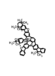 CC(C)(C)c1ccc(Nc2cc3c(cc2-c2ccc4c5cc6c(cc5n5c4c2Bc2cc4oc7ccccc7c4cc2-5)C(C)(C)c2ccccc2-6)oc2cc4c(cc23)C(C)(C)CCC4(C)C)cc1